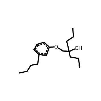 CCCCc1cccc(OCC(O)(CCC)CCC)c1